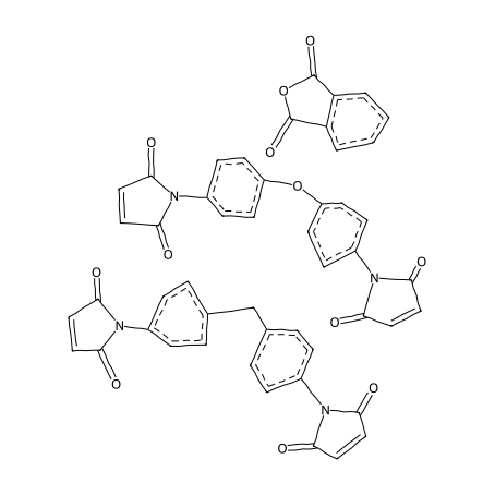 O=C1C=CC(=O)N1c1ccc(Cc2ccc(N3C(=O)C=CC3=O)cc2)cc1.O=C1C=CC(=O)N1c1ccc(Oc2ccc(N3C(=O)C=CC3=O)cc2)cc1.O=C1OC(=O)c2ccccc21